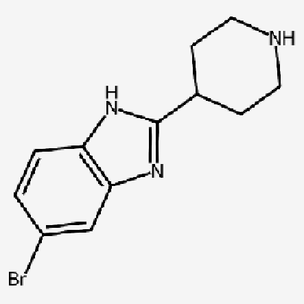 Brc1ccc2[nH]c(C3CCNCC3)nc2c1